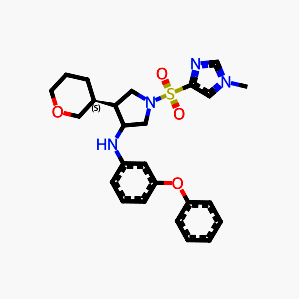 Cn1cnc(S(=O)(=O)N2CC(Nc3cccc(Oc4ccccc4)c3)C([C@@H]3CCCOC3)C2)c1